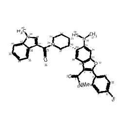 CNC(=O)c1c(-c2ccc(F)cc2)oc2cc(N(C)S)c([C@H]3CCCN(C(=O)c4cn(C)c5ccccc45)C3)cc12